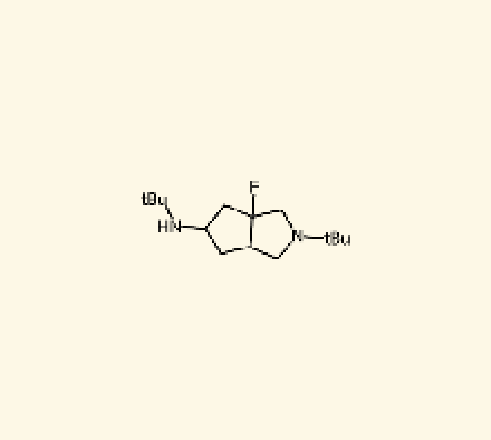 CC(C)(C)NC1CC2CN(C(C)(C)C)CC2(F)C1